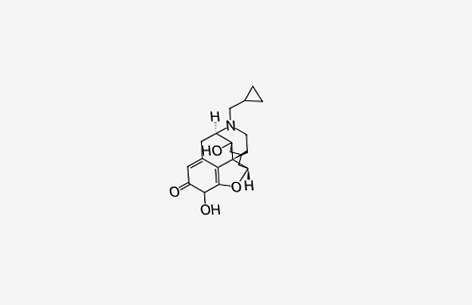 O=C1C=C2C[C@H]3N(CC4CC4)CC[C@]45C2=C(O[C@@H]4CCCC35O)C1O